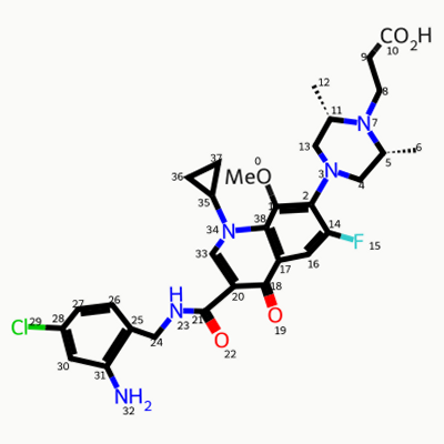 COc1c(N2C[C@@H](C)N(CCC(=O)O)[C@@H](C)C2)c(F)cc2c(=O)c(C(=O)NCc3ccc(Cl)cc3N)cn(C3CC3)c12